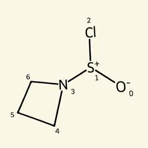 [O-][S+](Cl)N1CCC1